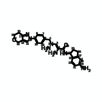 N/C(=C\N(N)Cc1ccc(-n2cc3c(n2)CCOC3)cc1)C(=O)NC1CCc2nc(N)ccc21